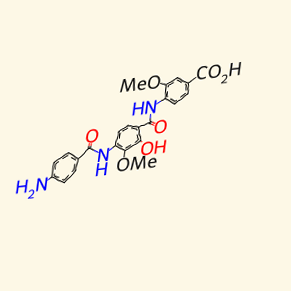 COc1cc(C(=O)O)ccc1NC(=O)c1ccc(NC(=O)c2ccc(N)cc2)c(OC)c1O